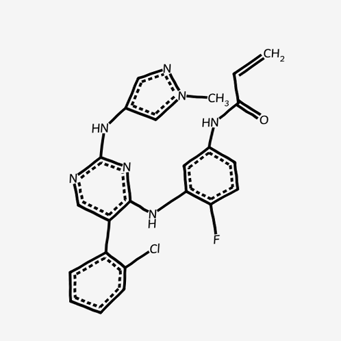 C=CC(=O)Nc1ccc(F)c(Nc2nc(Nc3cnn(C)c3)ncc2-c2ccccc2Cl)c1